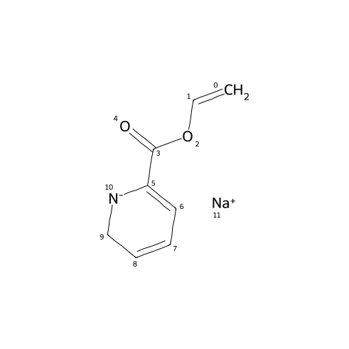 C=COC(=O)C1=CC=CC[N-]1.[Na+]